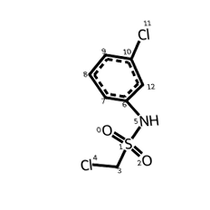 O=S(=O)(CCl)Nc1cccc(Cl)c1